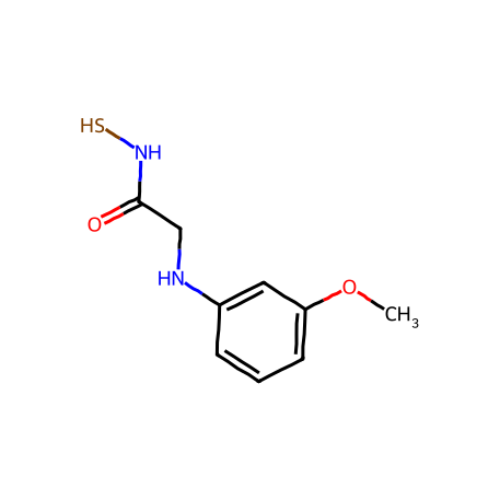 COc1cccc(NCC(=O)NS)c1